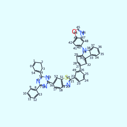 C1=CCCC(c2nc(-c3ccccc3)nc(-c3ccc4nc(-c5cccc(-c6ccc7c(c6)c6ccccc6n7-c6ccc7ocnc7c6)c5)sc4c3)n2)=C1